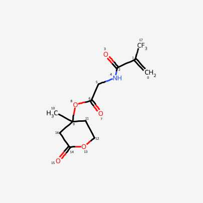 C=C(C(=O)NCC(=O)OC1(C)CCOC(=O)C1)C(F)(F)F